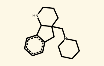 c1ccc2c(c1)CC1(CN3CCCCC3)CCCNC21